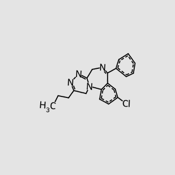 CCCC1=NN=C2CN=C(c3ccccc3)c3cc(Cl)ccc3N2C1